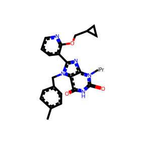 Cc1ccc(Cn2c(-c3cccnc3OCC3CC3)nc3c2c(=O)[nH]c(=O)n3C(C)C)cc1